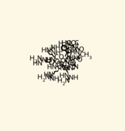 C[C@H](NC(=O)[C@H](CC(=O)O)NC(=O)CN)C(=O)N[C@@H](Cc1c[nH]cn1)C(=O)N[C@@H](Cc1c[nH]c2ccccc12)C(=O)N[C@@H](CCCNC(=N)N)C(=O)N[C@@H](CCCNC(=N)N)C(=O)N[C@@H](CCCNC(=N)N)C(=O)N[C@@H](CCCNC(=N)N)C(=O)O